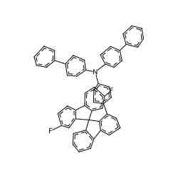 Fc1ccc2c(c1)C1(c3cc(F)ccc3-2)c2ccccc2-c2cccc(-c3ccc(N(c4ccc(-c5ccccc5)cc4)c4ccc(-c5ccccc5)cc4)cc3)c21